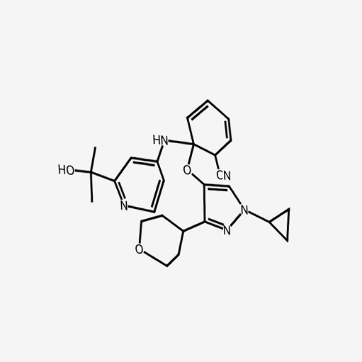 CC(C)(O)c1cc(NC2(Oc3cn(C4CC4)nc3C3CCOCC3)C=CC=CC2C#N)ccn1